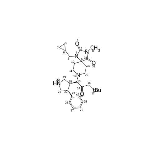 CN1C(=O)N(CC2CC2)C2(CCN(C(C(=O)CC(C)(C)C)[C@@H]3CNC[C@@H]3c3ccccc3)CC2)C1=O